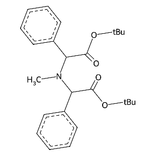 CN(C(C(=O)OC(C)(C)C)c1ccccc1)C(C(=O)OC(C)(C)C)c1ccccc1